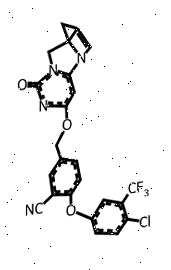 N#Cc1cc(COc2cc3n(c(=O)n2)CC24CC2=CN34)ccc1Oc1ccc(Cl)c(C(F)(F)F)c1